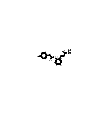 Cc1ccc(CC(=O)Nc2ccccc2CCC(=O)NO)cc1